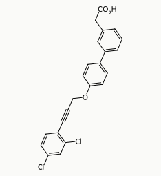 O=C(O)Cc1cccc(-c2ccc(OCC#Cc3ccc(Cl)cc3Cl)cc2)c1